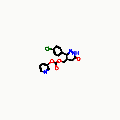 O=C1CC(COC(=O)Oc2cccnc2)C(c2ccc(Cl)cc2)=NN1